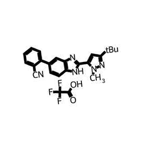 Cn1nc(C(C)(C)C)cc1-c1nc2cc(-c3ccccc3C#N)ccc2[nH]1.O=C(O)C(F)(F)F